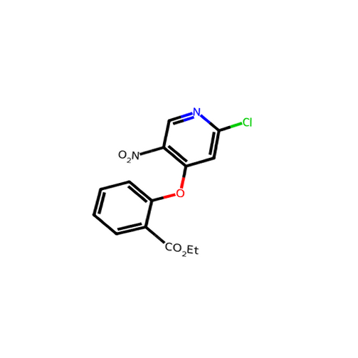 CCOC(=O)c1ccccc1Oc1cc(Cl)ncc1[N+](=O)[O-]